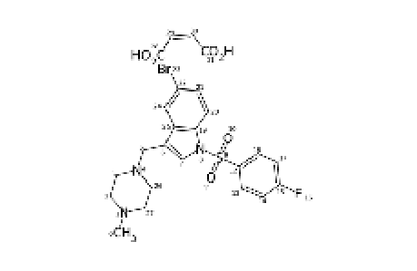 CN1CCN(Cc2cn(S(=O)(=O)c3ccc(F)cc3)c3ccc(Br)cc23)CC1.O=C(O)/C=C\C(=O)O